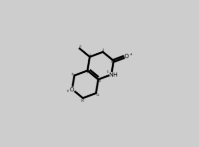 CC1CC(=O)NC2=C1COCC2